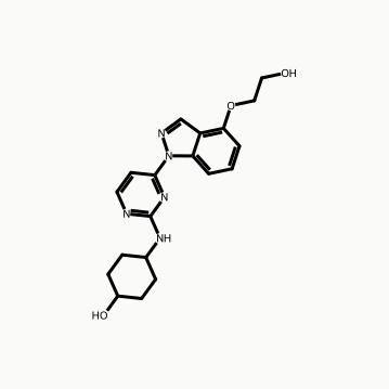 OCCOc1cccc2c1cnn2-c1ccnc(NC2CCC(O)CC2)n1